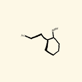 CNC1CCCCC1CCC(C)=O